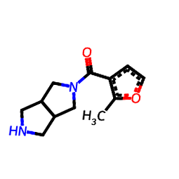 Cc1occc1C(=O)N1CC2CNCC2C1